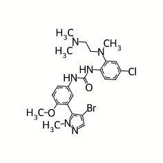 COc1ccc(NC(=O)Nc2ccc(Cl)cc2N(C)CCN(C)C)cc1-c1c(Br)cnn1C